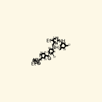 CCc1cnc(Nc2cc(C)cc(C)c2)nc1CN[C@@H]1CCN(C(=O)c2ccnc(CNS(=O)(=O)CC)c2)[C@H](C)C1